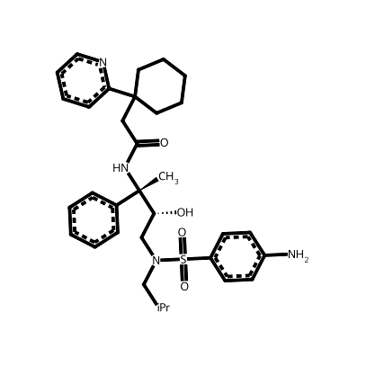 CC(C)CN(C[C@@H](O)[C@@](C)(NC(=O)CC1(c2ccccn2)CCCCC1)c1ccccc1)S(=O)(=O)c1ccc(N)cc1